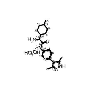 Cc1n[nH]c(C)c1-c1ccc(NC(=O)C(N)C2CCC(C)CC2)cn1.Cl.Cl